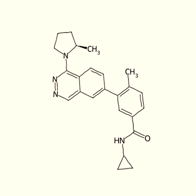 Cc1ccc(C(=O)NC2CC2)cc1-c1ccc2c(N3CCC[C@H]3C)nncc2c1